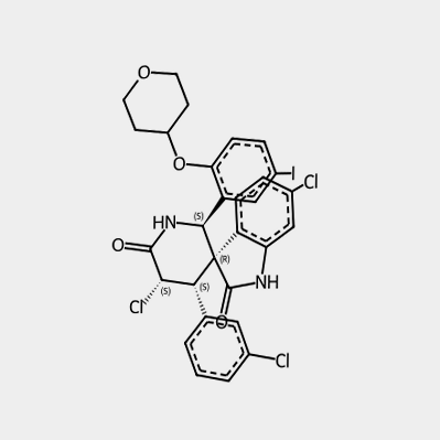 O=C1N[C@@H](c2cc(I)ccc2OC2CCOCC2)[C@@]2(C(=O)Nc3cc(Cl)ccc32)[C@H](c2cccc(Cl)c2)[C@@H]1Cl